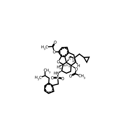 CC(=O)Oc1ccc2c3c1O[C@H]1[C@H](NS(=O)(=O)Cc4ccccc4CC(C)C)CC[C@@]4(OC(C)=O)[C@@H](C2)N(CC2CC2)CC[C@]314